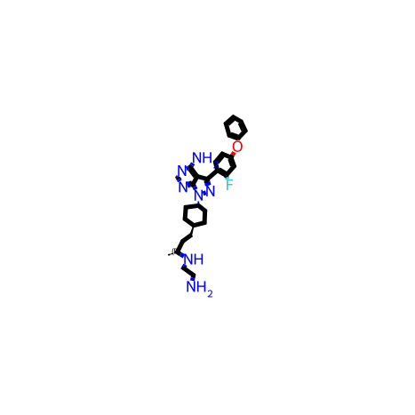 C[C@H](CC[C@H]1CC[C@H](n2nc(-c3ccc(Oc4ccccc4)cc3F)c3c(N)ncnc32)CC1)NCCN